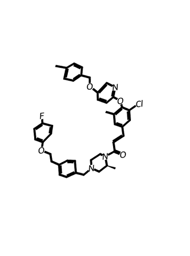 Cc1ccc(COc2ccc(Oc3c(C)cc(C=CC(=O)N4CCN(Cc5ccc(CCOc6ccc(F)cc6)cc5)C[C@@H]4C)cc3Cl)nc2)cc1